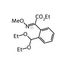 CCOC(=O)/C(=N\OC)c1ccccc1C(OCC)OCC